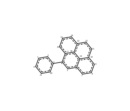 c1ccc(-c2cc3cccc4ccc5cccc2c5c43)cc1